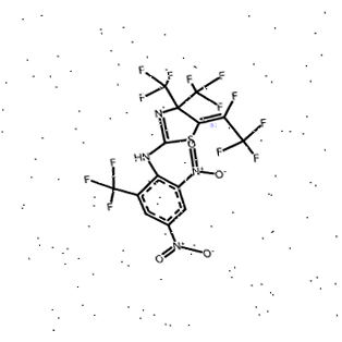 O=[N+]([O-])c1cc([N+](=O)[O-])c(NC2=NC(C(F)(F)F)(C(F)(F)F)/C(=C(\F)C(F)(F)F)S2)c(C(F)(F)F)c1